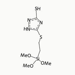 CO[Si](CCSc1nc(S)n[nH]1)(OC)OC